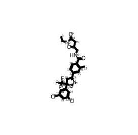 CCN1OC(CNC(=O)c2ccc(C3=NOC(c4cc(Cl)cc(Cl)c4)(C(F)(F)F)C3)cc2C)CC1=O